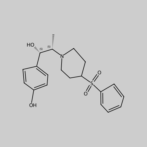 C[C@@H]([C@@H](O)c1ccc(O)cc1)N1CCC(S(=O)(=O)c2ccccc2)CC1